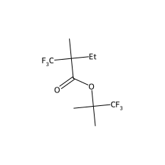 CCC(C)(C(=O)OC(C)(C)C(F)(F)F)C(F)(F)F